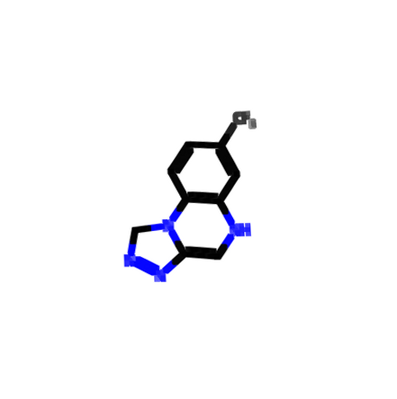 FC(F)(F)c1ccc2c(c1)NC=C1N=NCN12